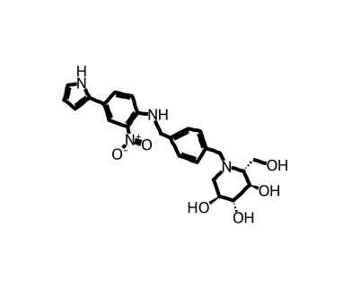 O=[N+]([O-])c1cc(-c2ccc[nH]2)ccc1NCc1ccc(CN2C[C@H](O)[C@@H](O)[C@H](O)[C@H]2CO)cc1